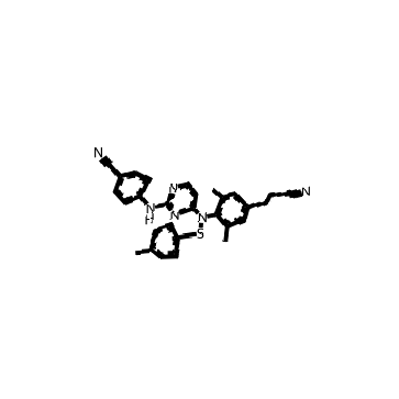 Cc1ccc(SN(c2ccnc(Nc3ccc(C#N)cc3)n2)c2c(C)cc(CCC#N)cc2C)cc1